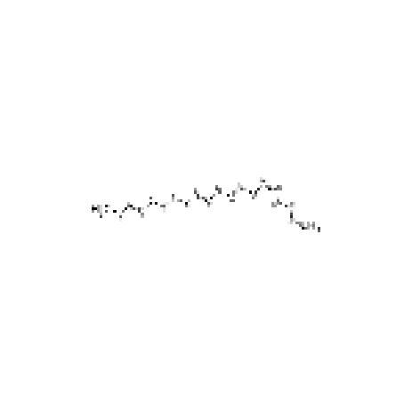 CCC=CCC=CCC=CCC=CC/C=C\CCCC